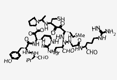 CSCC[C@H](NN(NCC(=O)N[C@H](C=O)CCCNC(=N)N)[C@H](C=O)CC(C)C)C(=O)C(=O)[C@H](CS)NC(C)N1CCC[C@H]1C(=O)C(=O)[C@H](CCCNC(=N)N)NC(=O)[C@H](Cc1ccc(O)cc1)NN[C@H](C=O)C(C)C